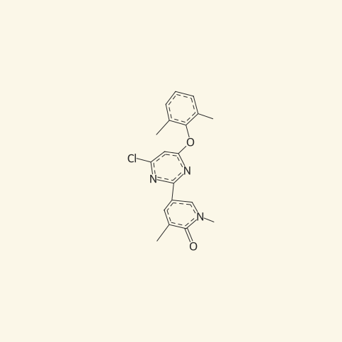 Cc1cccc(C)c1Oc1cc(Cl)nc(-c2cc(C)c(=O)n(C)c2)n1